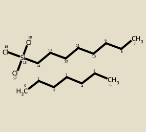 CCCCCCC.CCCCCCCC[Si](Cl)(Cl)Cl